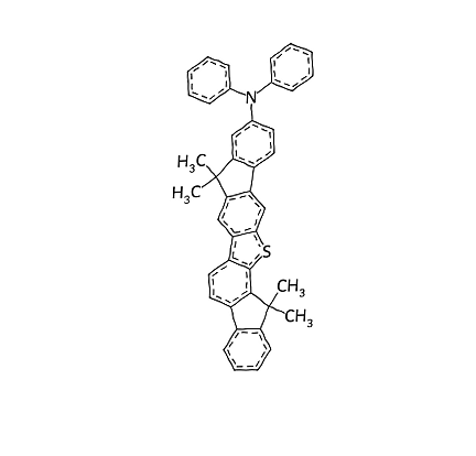 CC1(C)c2cc(N(c3ccccc3)c3ccccc3)ccc2-c2cc3sc4c5c(ccc4c3cc21)-c1ccccc1C5(C)C